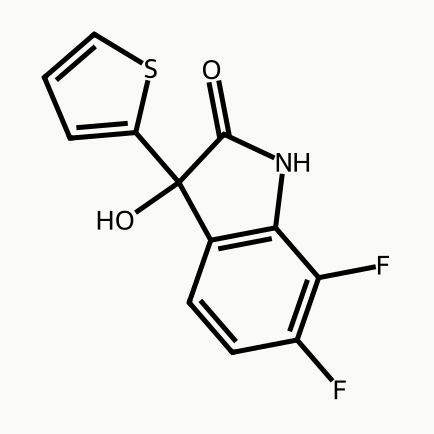 O=C1Nc2c(ccc(F)c2F)C1(O)c1cccs1